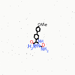 COc1ccc(-c2ccc3c(C(N)=O)c(NC(N)=O)[nH]c3c2)cc1